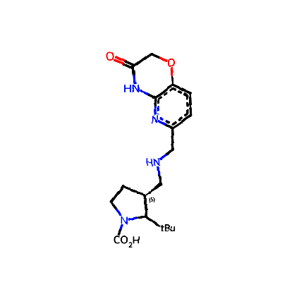 CC(C)(C)C1[C@H](CNCc2ccc3c(n2)NC(=O)CO3)CCN1C(=O)O